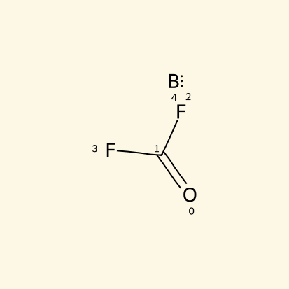 O=C(F)F.[B]